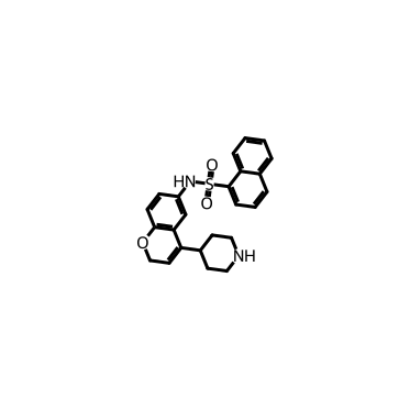 O=S(=O)(Nc1ccc2c(c1)C(C1CCNCC1)=CCO2)c1cccc2ccccc12